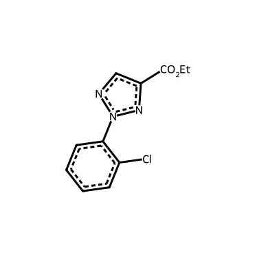 CCOC(=O)c1cnn(-c2ccccc2Cl)n1